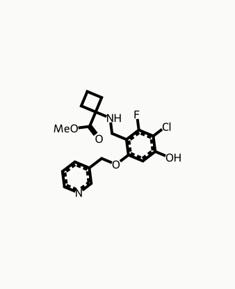 COC(=O)C1(NCc2c(OCc3cccnc3)cc(O)c(Cl)c2F)CCC1